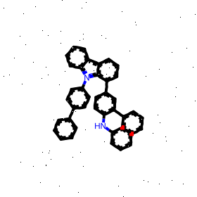 c1ccc(Nc2ccc(-c3cccc4c5ccccc5n(-c5ccc(-c6ccccc6)cc5)c34)cc2-c2ccccc2)cc1